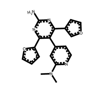 CN(C)c1cc(-c2c(-c3ccoc3)nc(N)nc2-c2ccco2)ccn1